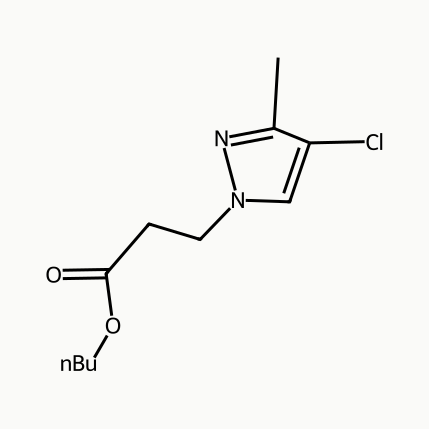 CCCCOC(=O)CCn1cc(Cl)c(C)n1